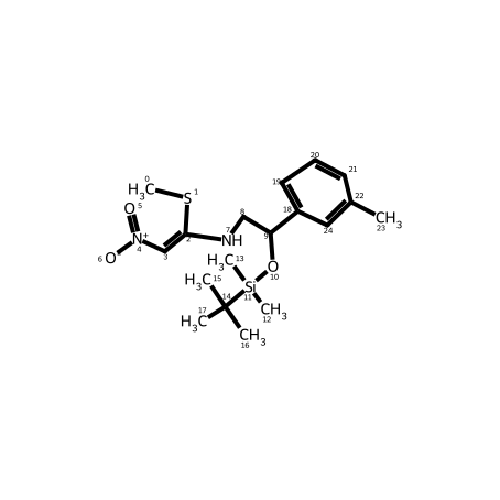 CSC(=C[N+](=O)[O-])NCC(O[Si](C)(C)C(C)(C)C)c1cccc(C)c1